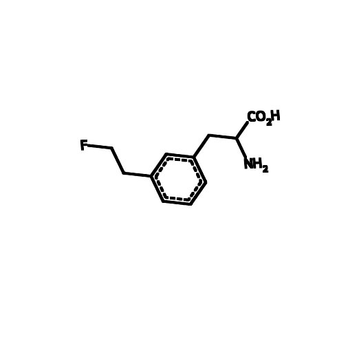 NC(Cc1cccc(CCF)c1)C(=O)O